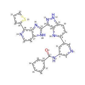 O=C(Nc1cncc(-c2ccc3[nH]nc(-c4nc5c(-c6cccs6)nccc5[nH]4)c3n2)c1)c1ccccc1